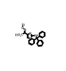 CCON=C(C(=O)OCC)c1csc(NC(c2ccccc2)(c2ccccc2)c2ccccc2)n1